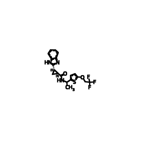 CC(NC(=O)[C@H]1C[C@@H]1c1nc2ccccc2[nH]1)c1ccc(OCC(F)(F)F)s1